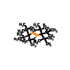 C[Si](C)(C)C(P=PC([Si](C)(C)C)([Si](C)(C)C)[Si](C)(C)C)([Si](C)(C)C)[Si](C)(C)C